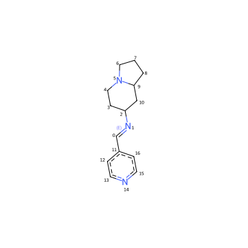 C(=N\C1CCN2CCCC2C1)/c1ccncc1